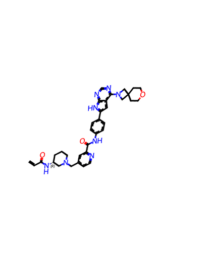 C=CC(=O)N[C@@H]1CCCN(Cc2ccnc(C(=O)Nc3ccc(-c4cc5c(N6CC7(CCOCC7)C6)ncnc5[nH]4)cc3)c2)C1